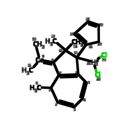 CC1C=CC=CC2=C1[C](=[Ge]([CH3])[CH3])C(C)(C)[C]2(C1=CC=CC1)[Hf]([Cl])[Cl]